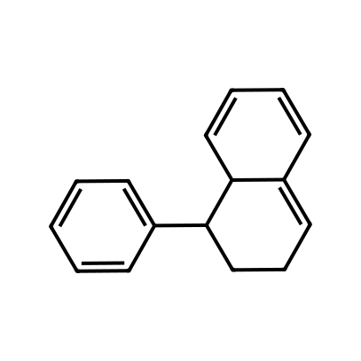 C1=CC2=CCCC(c3ccccc3)C2C=C1